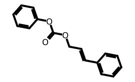 O=C(OC/C=C/c1ccccc1)Oc1ccccc1